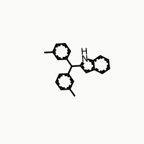 Cc1cccc(C(c2cccc(C)c2)c2cc3ccccc3[nH]2)c1